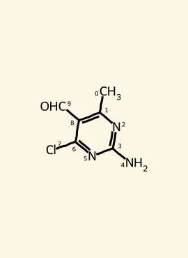 Cc1nc(N)nc(Cl)c1C=O